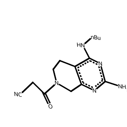 CCCCNc1nc(N)nc2c1CCN(C(=O)CC#N)C2